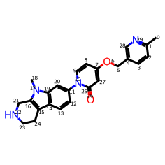 Cc1ccc(COc2ccn(-c3ccc4c5c(n(C)c4c3)CNCC5)c(=O)c2)cn1